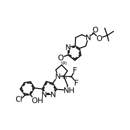 CC(C)(C)OC(=O)N1CCc2nc(O[C@H]3CN4c5cc(-c6cccc(Cl)c6O)nnc5NC[C@@]4(C(F)F)C3)ccc2C1